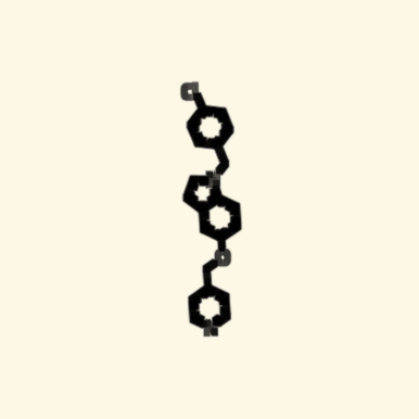 Clc1ccc(Cn2ccc3cc(OCc4ccncc4)ccc32)cc1